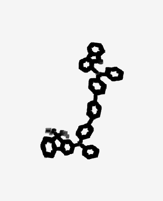 CC1(C)c2ccccc2-c2ccc(N(c3ccccc3)c3ccc(-c4ccc(-c5ccc(N(c6ccccc6)c6cccc7c6oc6ccccc67)cc5)cc4)cc3)cc21